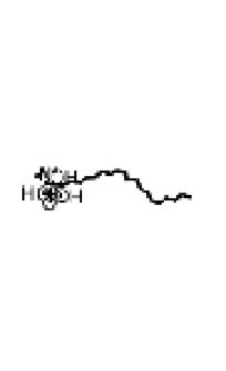 CCCC/C=C\CCCC/C=C\CCCCCCCC(O)(C[N+](C)(C)C)P(=O)(O)O